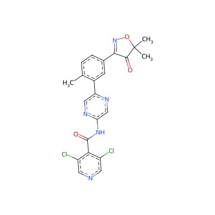 Cc1ccc(C2=NOC(C)(C)C2=O)cc1-c1cnc(NC(=O)c2c(Cl)cncc2Cl)cn1